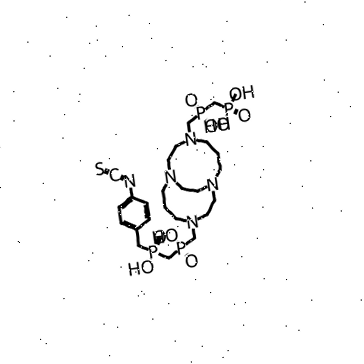 O=P(O)(O)CP(=O)(O)CN1CCCN2CCN(CCCN(CP(=O)(O)CP(=O)(O)Cc3ccc(N=C=S)cc3)CC2)CC1